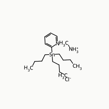 CCC[CH2][Sn]([CH2]CCC)([CH2]CCC)[c]1ccccn1.C[NH3+].[Cl-]